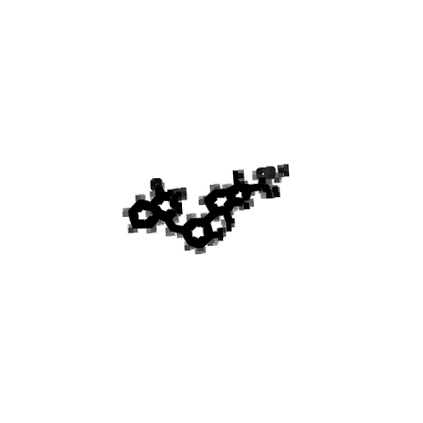 CCN(C(=O)O)c1nc2c(F)c(-c3cc(Cc4n[nH]c(=O)c5ccccc45)ccc3F)ccc2[nH]1